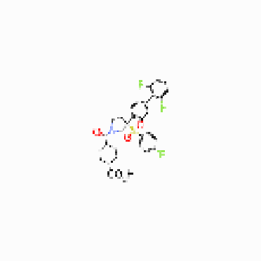 O=C(O)C1CCC(C(=O)N2CCC(c3ccc(-c4c(F)cccc4F)cc3)(S(=O)(=O)c3ccc(F)cc3)C2)CC1